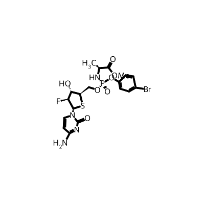 COC(=O)[C@H](C)NP(=O)(OC[C@H]1S[C@@H](n2ccc(N)nc2=O)[C@@H](F)[C@@H]1O)Oc1ccc(Br)cc1